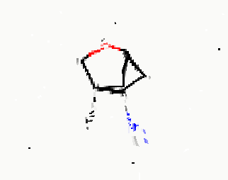 N[C@H]1CC2C[C@@H]1CO2